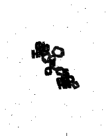 CS(=O)(=O)Nc1ccc2c(c1)C1(CCCCC1)CN2C(=O)c1csc(S(=O)(=O)NC2CCC2)c1